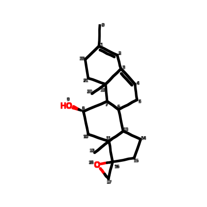 CC1=CC2=CCC3C([C@H](O)CC4(C)C3CCC43CO3)C2(C)CC1